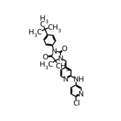 CC(C)(C)c1ccc(N2C(=O)N(Cc3ccnc(Nc4ccc(Cl)nc4)c3)C(C)(C)C2=O)cc1